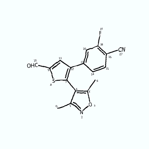 Cc1noc(C)c1-c1sc(C=O)cc1-c1ccc(C#N)c(F)c1